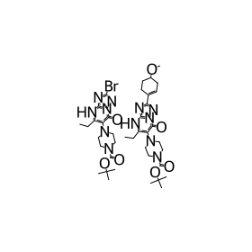 CCc1[nH]c2nc(Br)nn2c(=O)c1N1CCN(C(=O)OC(C)(C)C)CC1.CCc1[nH]c2nc(C3=CCC(OC)CC3)nn2c(=O)c1N1CCN(C(=O)OC(C)(C)C)CC1